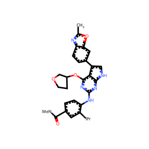 CNC(=O)c1ccc(Nc2nc(OC3CCOC3)c3c(-c4ccc5nc(C)oc5c4)c[nH]c3n2)c(C(C)C)c1